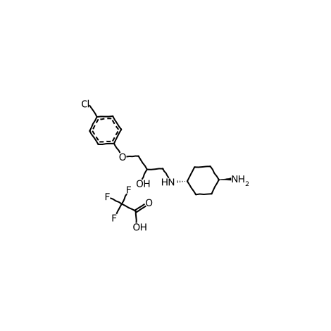 N[C@H]1CC[C@H](NCC(O)COc2ccc(Cl)cc2)CC1.O=C(O)C(F)(F)F